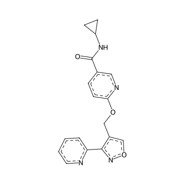 O=C(NC1CC1)c1ccc(OCc2conc2-c2ccccn2)nc1